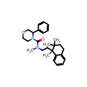 CN(CC[C@@]1(C)c2ccccc2CCC1(C)C)C(=O)N1CCOCC1c1ccccc1